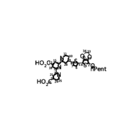 CCCCCOc1sc(-c2ccc(-c3ccnc(-c4cc(C(=O)O)cc(-c5cc(C(=O)O)ccn5)n4)c3)s2)c2c1OCCO2